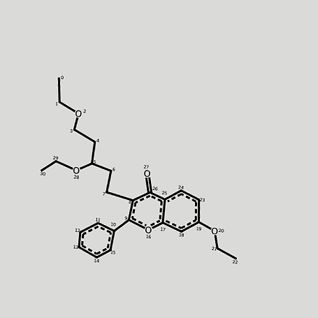 CCOCCC(CCc1c(-c2ccccc2)oc2cc(OCC)ccc2c1=O)OCC